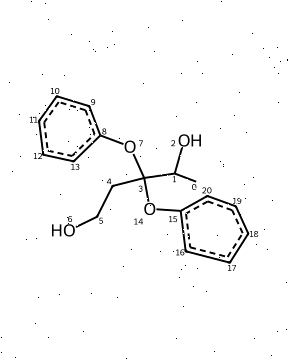 CC(O)C(CCO)(Oc1ccccc1)Oc1ccccc1